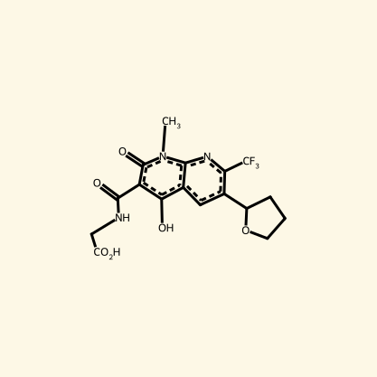 Cn1c(=O)c(C(=O)NCC(=O)O)c(O)c2cc(C3CCCO3)c(C(F)(F)F)nc21